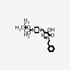 CC(C)(C)OC(=O)N1CCN(Cc2ncn(CCc3ccccc3)c(=O)c2O)CC1